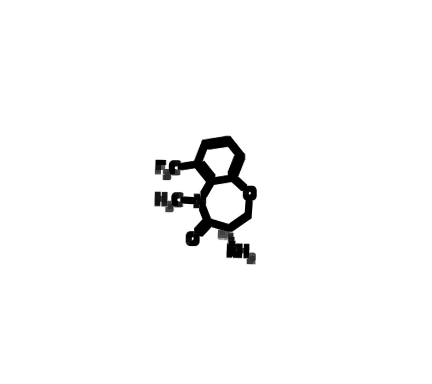 CN1C(=O)[C@@H](N)COc2cccc(C(F)(F)F)c21